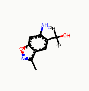 [2H]C([2H])(O)c1cc2c(C)noc2cc1N